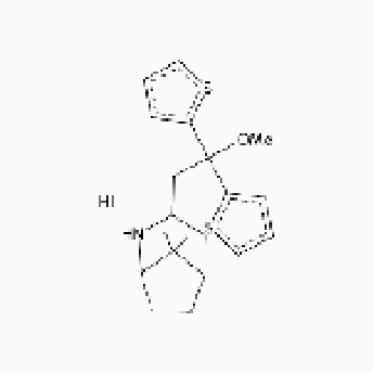 COC(CC1CC2CCC(N1)C2(C)C)(c1cccs1)c1cccs1.I